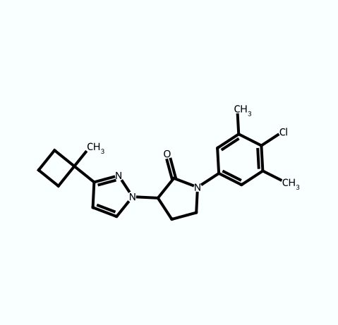 Cc1cc(N2CCC(n3ccc(C4(C)CCC4)n3)C2=O)cc(C)c1Cl